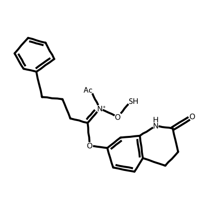 CC(=O)[N+](OS)=C(CCCc1ccccc1)Oc1ccc2c(c1)NC(=O)CC2